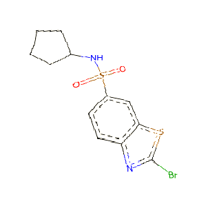 O=S(=O)(NC1CCCC1)c1ccc2nc(Br)sc2c1